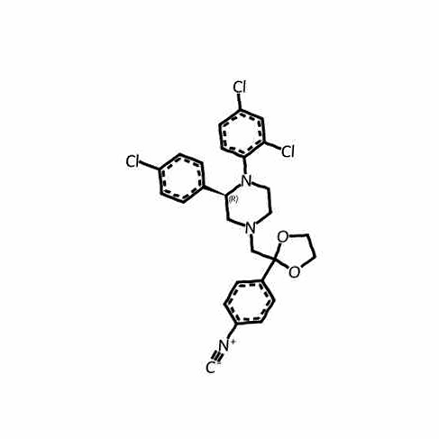 [C-]#[N+]c1ccc(C2(CN3CCN(c4ccc(Cl)cc4Cl)[C@H](c4ccc(Cl)cc4)C3)OCCO2)cc1